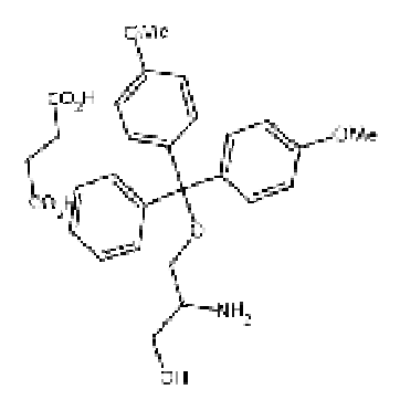 COc1ccc(C(OCC(N)CO)(c2ccccc2)c2ccc(OC)cc2)cc1.O=C(O)CCC(=O)O